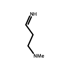 CNCCC=N